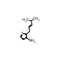 CC(C)C=CCc1sccc1N